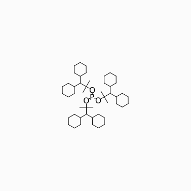 CC(C)(OP(OC(C)(C)C(C1CCCCC1)C1CCCCC1)OC(C)(C)C(C1CCCCC1)C1CCCCC1)C(C1CCCCC1)C1CCCCC1